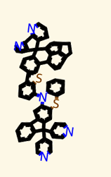 c1ccc2c(c1)Sc1cc3c(cc1N2c1cccc2c1sc1c4c(ccc12)C1(c2cccnc2-c2ncccc21)c1ccc2c5c(ccc-4c15)CC2)-c1ccccc1C3(c1ccncc1)c1ccncc1